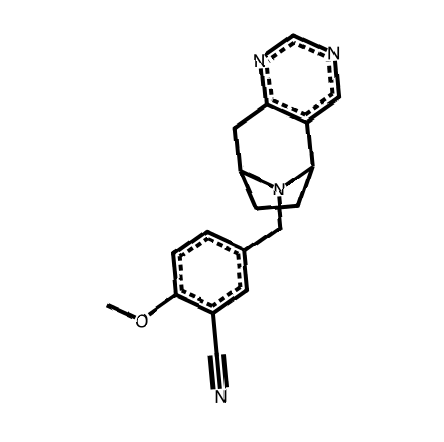 COc1ccc(CN2C3CCC2c2cncnc2C3)cc1C#N